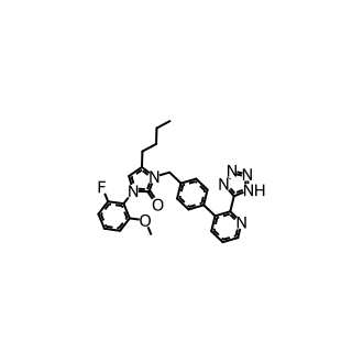 CCCCc1cn(-c2c(F)cccc2OC)c(=O)n1Cc1ccc(-c2cccnc2-c2nnn[nH]2)cc1